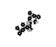 C=C/C=C\C(=C/CC)n1c2ccccc2c2ccc(N(c3ccccc3)c3ccc(C)c(O/C(=C/C(=C/C(=C\C)c4ccc(N(c5ccccc5)c5ccc6c7ccccc7n(-c7ccccc7)c6c5)cc4O)CC)CC)c3)cc21